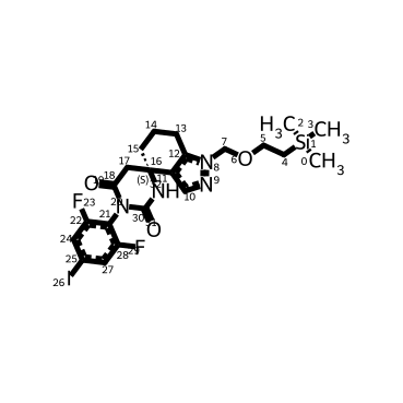 C[Si](C)(C)CCOCn1ncc2c1CCC[C@]21CC(=O)N(c2c(F)cc(I)cc2F)C(=O)N1